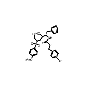 COc1ccc(S(=O)(=O)N(CC(C)C)C[C@@H](O)[C@H](Cc2ccccc2)NC(=O)OCc2cc[n+]([O-])cc2)cc1